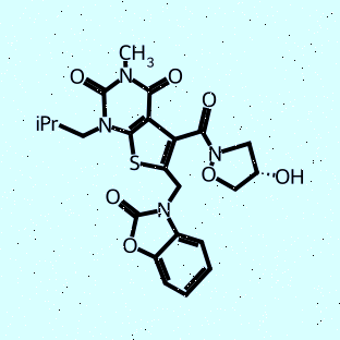 CC(C)Cn1c(=O)n(C)c(=O)c2c(C(=O)N3C[C@H](O)CO3)c(Cn3c(=O)oc4ccccc43)sc21